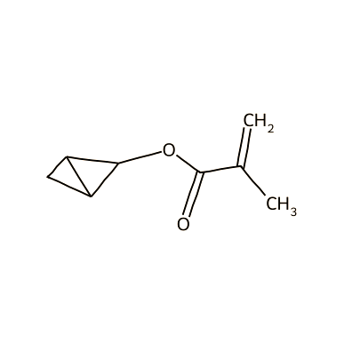 C=C(C)C(=O)OC1C2CC21